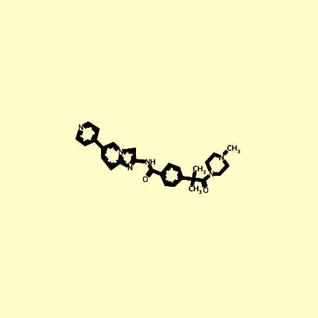 CN1CCN(C(=O)C(C)(C)c2ccc(C(=O)Nc3cn4cc(-c5ccncc5)ccc4n3)cc2)CC1